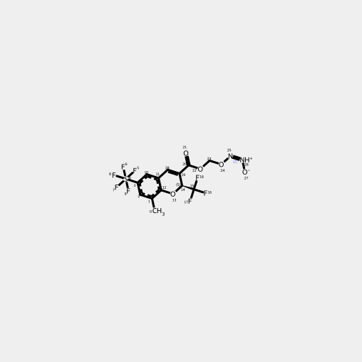 Cc1cc(S(F)(F)(F)(F)F)cc2c1O[C@H](C(F)(F)F)C(C(=O)OCO/N=[NH+]\[O-])=C2